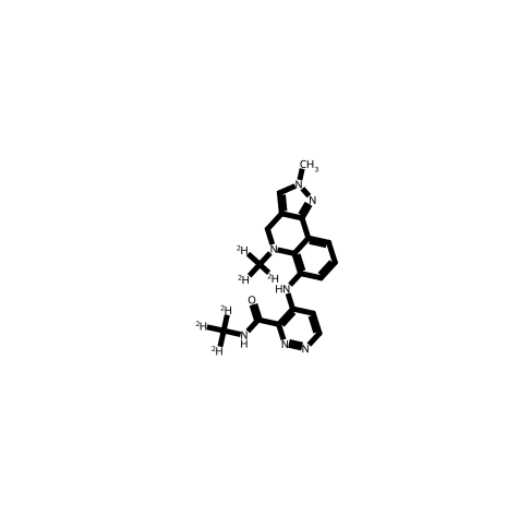 [2H]C([2H])([2H])NC(=O)c1nnccc1Nc1cccc2c1N(C([2H])([2H])[2H])Cc1cn(C)nc1-2